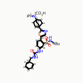 CC(C)N(C(=O)O)C12CCC(c3ncc(-c4ccc(NC(=O)NCc5ccccc5)cc4S(=O)(=O)NC(C)(C)C)s3)(CC1)CC2